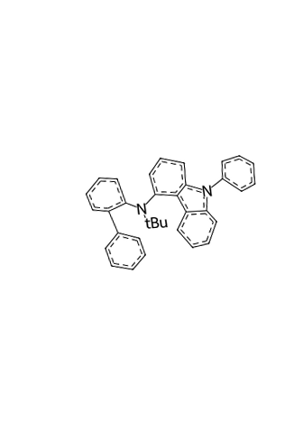 CC(C)(C)N(c1ccccc1-c1ccccc1)c1cccc2c1c1ccccc1n2-c1ccccc1